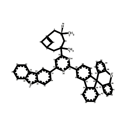 C[C@H]1CC2=CC(C2)CC(C)(c2cc(-c3ccc4sc5ccccc5c4c3)nc(-c3ccc4c(c3)-c3ccccc3C43c4ccccc4Oc4ccccc43)n2)C1